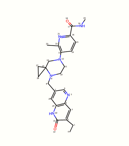 CCc1cc2ncc(CN3CCN(c4ccc(C(=O)NC)nc4C)CC34CC4)cc2[nH]c1=O